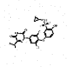 O=c1[nH]c(=O)n(-c2cc(Cl)c(Oc3ccc(O)c(S(=O)(=O)NC4CC4)c3)c(Cl)c2)nc1C(F)F